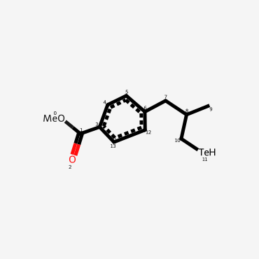 COC(=O)c1ccc(CC(C)C[TeH])cc1